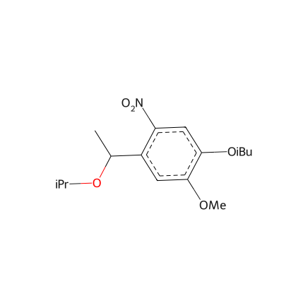 COc1cc(C(C)OC(C)C)c([N+](=O)[O-])cc1OCC(C)C